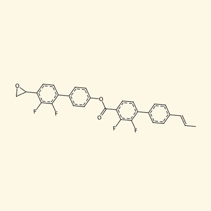 C/C=C/c1ccc(-c2ccc(C(=O)Oc3ccc(-c4ccc(C5CO5)c(F)c4F)cc3)c(F)c2F)cc1